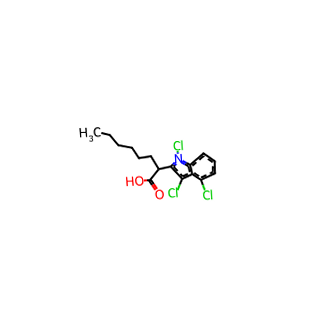 CCCCCCC(C(=O)O)c1c(Cl)c2c(Cl)cccc2n1Cl